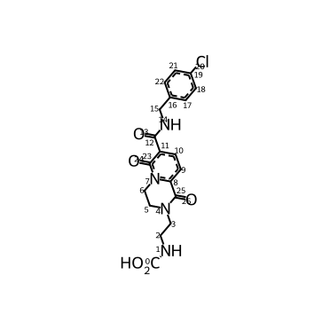 O=C(O)NCCN1CCn2c(ccc(C(=O)NCc3ccc(Cl)cc3)c2=O)C1=O